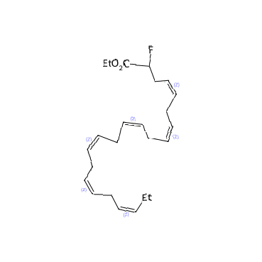 CC/C=C\C/C=C\C/C=C\C/C=C\C/C=C\C/C=C\CC(F)C(=O)OCC